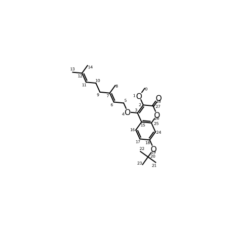 COc1c(OC/C=C(\C)CCC=C(C)C)c2ccc(OC(C)(C)C)cc2oc1=O